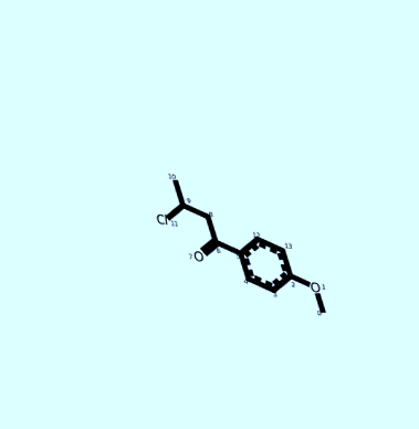 COc1ccc(C(=O)CC(C)Cl)cc1